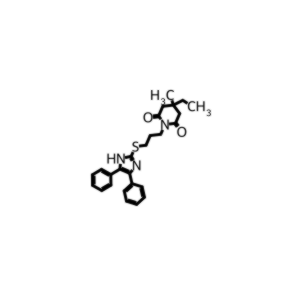 CCC1(C)CC(=O)N(CCCSc2nc(-c3ccccc3)c(-c3ccccc3)[nH]2)C(=O)C1